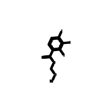 CCOCOC(=O)c1ccc(I)c(I)c1I